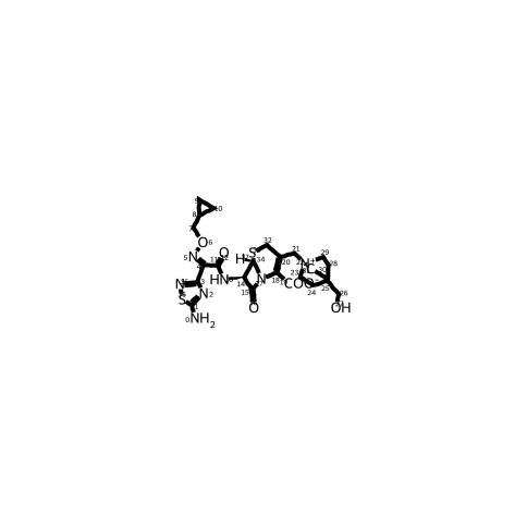 Nc1nc(/C(=N/OCC2CC2)C(=O)N[C@@H]2C(=O)N3C(C(=O)[O-])=C(C[N+]45CCC(CO)(CC4)CC5)CS[C@@H]23)ns1